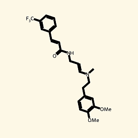 COc1ccc(CCN(C)C=CCNC(=O)C=Cc2cccc(C(F)(F)F)c2)cc1OC